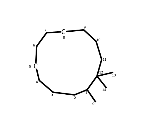 C[C]1CCCCCCCCCCC1(C)C